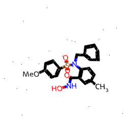 COc1ccc(S(=O)(=O)N(Cc2ccccc2)c2ccc(C)cc2C(=O)NO)cc1